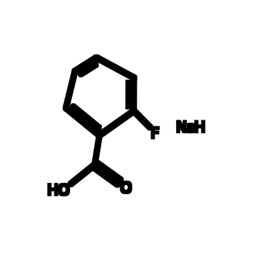 O=C(O)c1ccccc1F.[NaH]